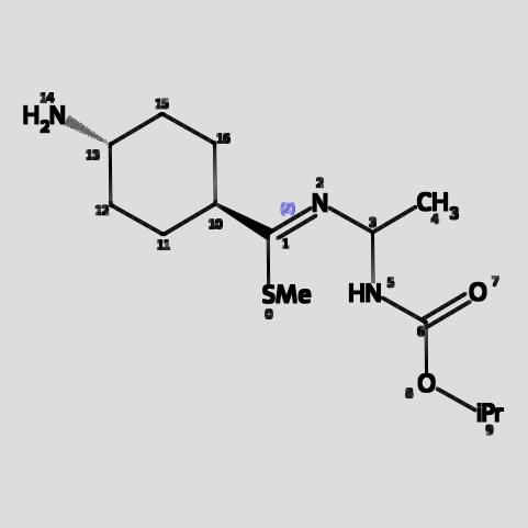 CS/C(=N\C(C)NC(=O)OC(C)C)[C@H]1CC[C@H](N)CC1